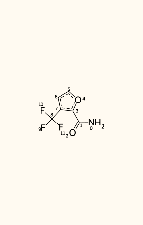 NC(=O)c1occc1C(F)(F)F